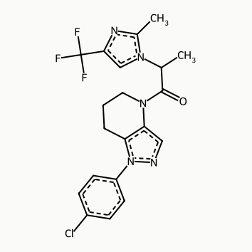 Cc1nc(C(F)(F)F)cn1C(C)C(=O)N1CCCc2c1cnn2-c1ccc(Cl)cc1